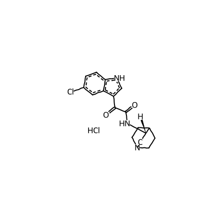 Cl.O=C(N[C@H]1CN2CCC1CC2)C(=O)c1c[nH]c2ccc(Cl)cc12